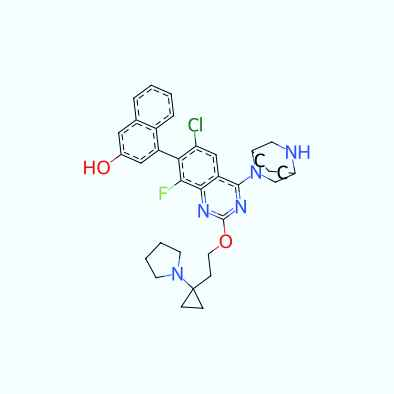 Oc1cc(-c2c(Cl)cc3c(N4CC5CCCC4CN5)nc(OCCC4(N5CCCC5)CC4)nc3c2F)c2ccccc2c1